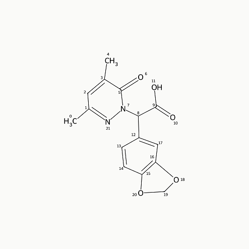 Cc1cc(C)c(=O)n(C(C(=O)O)c2ccc3c(c2)OCO3)n1